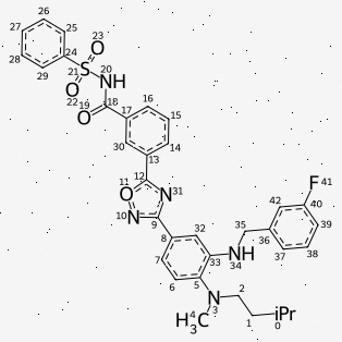 CC(C)CCN(C)c1ccc(-c2noc(-c3cccc(C(=O)NS(=O)(=O)c4ccccc4)c3)n2)cc1NCc1cccc(F)c1